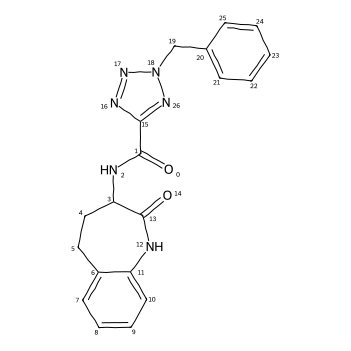 O=C(NC1CCc2ccccc2NC1=O)c1nnn(Cc2ccccc2)n1